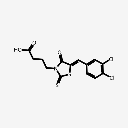 O=C(O)CCCN1C(=O)/C(=C/c2ccc(Cl)c(Cl)c2)SC1=S